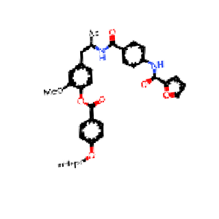 CCCCCCCOc1ccc(C(=O)Oc2ccc(CC(NC(=O)c3ccc(NC(=O)c4ccco4)cc3)C(C)=O)cc2OC)cc1